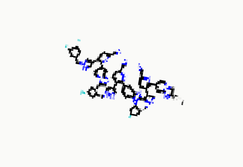 Cc1cn2ccc(-c3nc(C#N)ccc3-c3cnn(C[C@@H]4C[C@@H](F)CC4n4cnc5cc(-c6nc(C#N)ccc6-c6cnn(C[C@H]7C[C@H](F)CC7c7cnc8cc(-c9nc(C#N)ccc9-c9cnn(CC%10C[C@H](F)[C@@H](F)C%10)c9)ccn78)c6)ccc54)c3)cc2n1